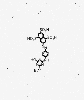 CCSc1nc(O)nc(Nc2ccc(/N=N/c3cc(S(=O)(=O)O)c4cc(S(=O)(=O)O)cc(S(=O)(=O)O)c4c3)cc2)n1